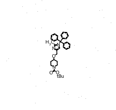 Cc1nc(COC2CCN(C(=O)OC(C)(C)C)CC2)cn1C(c1ccccc1)(c1ccccc1)c1ccccc1